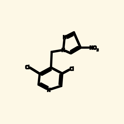 O=[N+]([O-])c1cnn(Cc2c(Cl)cncc2Cl)c1